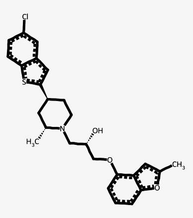 Cc1cc2c(OC[C@@H](O)CN3CC[C@H](c4cc5cc(Cl)ccc5s4)C[C@H]3C)cccc2o1